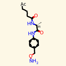 CC(=O)CCCC(=O)N[C@H](C)C(=O)Nc1ccc(CON)cc1